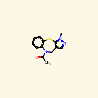 Cn1ncc2c1Sc1ccccc1N(C(=O)C(F)(F)F)C2